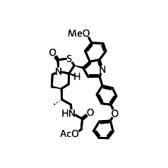 COc1ccc2nc(-c3ccc(Oc4ccccc4)cc3)cc([C@@H]3SC(=O)N4CC[C@H]([C@@H](C)CNC(=O)COC(C)=O)C[C@@H]34)c2c1